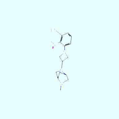 CN1CC2CC1CN2C1CN(c2cccc(N)c2[N+](=O)[O-])C1